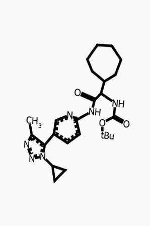 Cc1nnn(C2CC2)c1-c1ccc(NC(=O)C(NC(=O)OC(C)(C)C)C2CCCCCC2)nc1